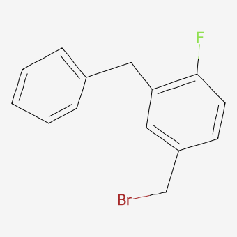 Fc1ccc(CBr)cc1Cc1ccccc1